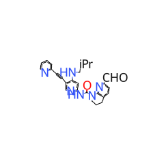 CC(C)CNc1cc(NC(=O)N2CCCc3ccc(C=O)nc32)ncc1C#Cc1ccccn1